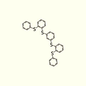 c1ccc(Sc2ccccc2Sc2cccc(Sc3ccccc3Sc3ccccc3)c2)cc1